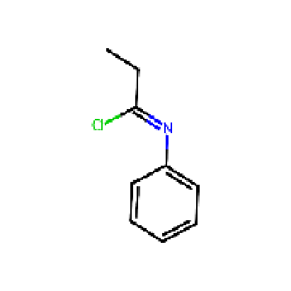 CC/C(Cl)=N/c1ccccc1